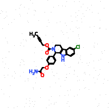 CC#CCOC(=O)N1CCc2c([nH]c3ccc(Cl)cc23)C1c1ccc(OCC(N)=O)cc1